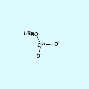 [O-][Cl+2]([O-])O.[RbH]